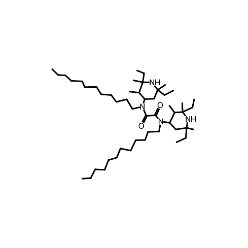 CCCCCCCCCCCCN(C(=O)C(=O)N(CCCCCCCCCCCC)C1CC(C)(CC)NC(C)(CC)C1C)C1CC(C)(CC)NC(C)(CC)C1C